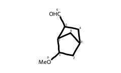 COC1CC2CC(C=O)C1C2